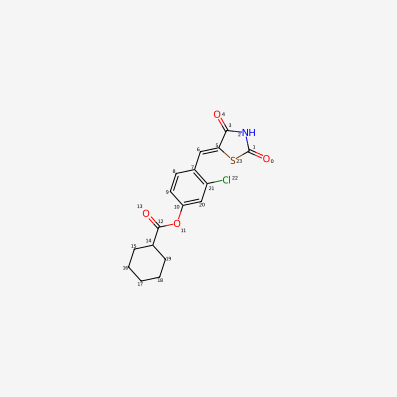 O=C1NC(=O)C(=Cc2ccc(OC(=O)C3CCCCC3)cc2Cl)S1